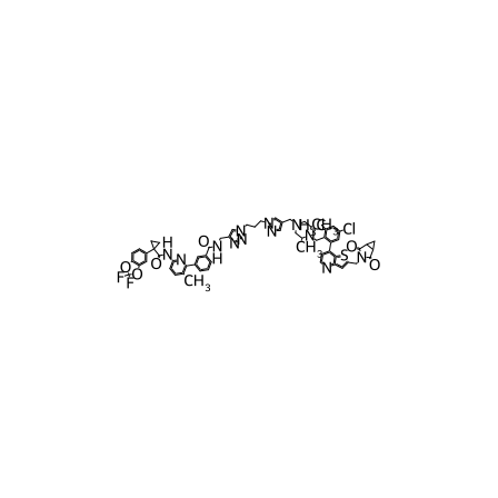 Cc1ccc(NC(=O)C2(c3ccc4c(c3)OC(F)(F)O4)CC2)nc1-c1cccc(C(=O)NCc2cn(CCCn3cc(CN4C[C@H](C)N(Cc5c(C)cc(Cl)cc5-c5ccnc6cc(CN7C(=O)C8CC8C7=O)sc56)[C@@H](C)C4)cn3)nn2)c1